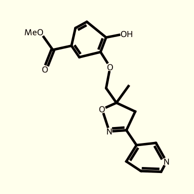 COC(=O)c1ccc(O)c(OCC2(C)CC(c3cccnc3)=NO2)c1